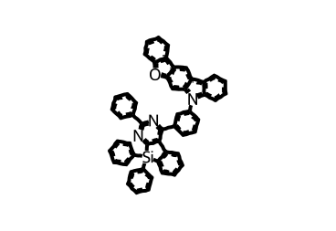 c1ccc(-c2nc(-c3cccc(-n4c5ccccc5c5cc6c(cc54)oc4ccccc46)c3)c3c(n2)[Si](c2ccccc2)(c2ccccc2)c2ccccc2-3)cc1